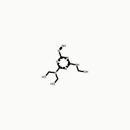 N=Nc1nc(NCO)nc(N(CO)CO)n1